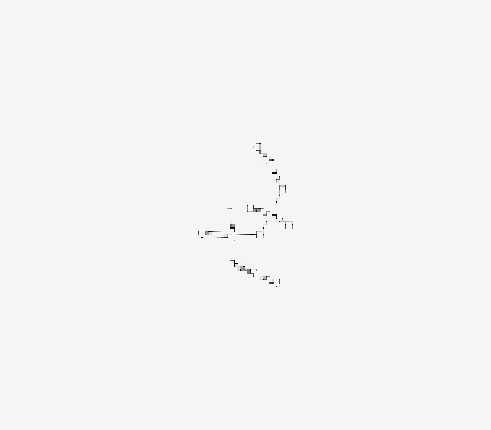 O=C=NS(=O)(=O)OS(=O)(=O)N=C=O